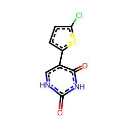 O=c1[nH]cc(-c2ccc(Cl)s2)c(=O)[nH]1